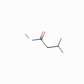 CCC(CC)CC(=O)NSC